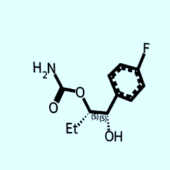 CC[C@H](OC(N)=O)[C@@H](O)c1ccc(F)cc1